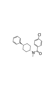 CN(C(=O)c1ccc(Cl)cc1)[C@H]1CC[C@H](c2ccccc2)CC1